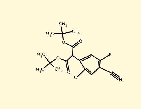 CC(C)(C)OC(=O)C(C(=O)OC(C)(C)C)c1cc(F)c(C#N)cc1Cl